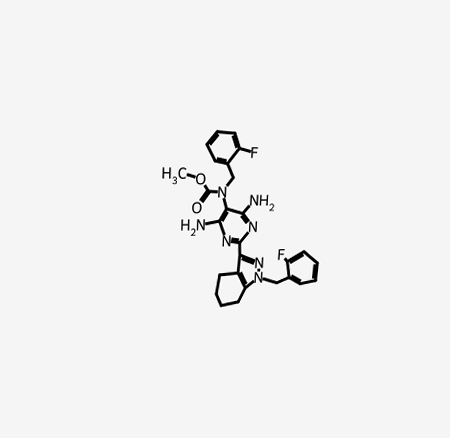 COC(=O)N(Cc1ccccc1F)c1c(N)nc(-c2nn(Cc3ccccc3F)c3c2CCCC3)nc1N